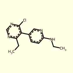 CCNc1ccc(-c2c(Cl)ncnc2CC)cn1